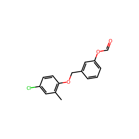 Cc1cc(Cl)ccc1OCc1cccc(OC=O)c1